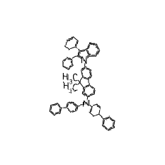 CC1(C)c2cc(N(C3=CCC(c4ccccc4)C=C3)c3ccc(-c4ccccc4)cc3)ccc2-c2ccc(-n3c(-c4ccccc4)c(C4=CC=CCC4)c4ccccc43)cc21